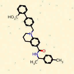 Cc1ccc([C@H](C)NC(=O)c2ccc3c(c2)CCCN3Cc2ccc(-c3ccccc3C(=O)O)cc2)cc1